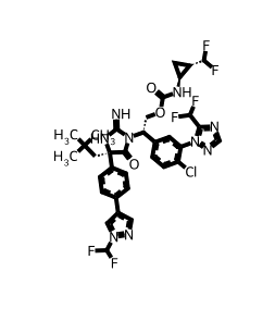 CC(C)(C)C[C@]1(c2ccc(-c3cnn(C(F)F)c3)cc2)NC(=N)N([C@H](COC(=O)N[C@H]2C[C@@H]2C(F)F)c2ccc(Cl)c(-n3ncnc3C(F)F)c2)C1=O